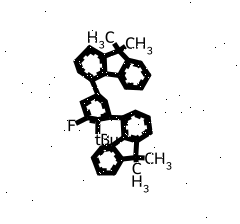 CC(C)(C)c1c(F)cc(-c2cccc3c2-c2ccccc2C3(C)C)cc1-c1cccc2c1-c1ccccc1C2(C)C